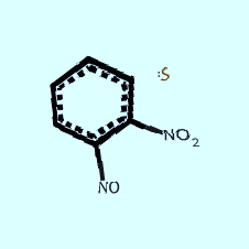 O=Nc1ccccc1[N+](=O)[O-].[S]